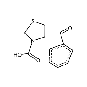 O=C(O)N1CCSC1.O=Cc1ccccc1